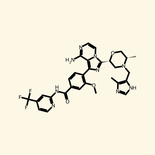 COc1cc(C(=O)Nc2cc(C(F)(F)F)ccn2)ccc1-c1nc([C@H]2CN(Cc3[nH]cnc3C)[C@@H](C)CO2)n2ccnc(N)c12